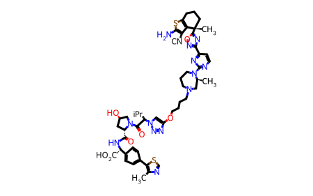 Cc1ncsc1-c1ccc([C@@H](NC(=O)[C@@H]2C[C@@H](O)CN2C(=O)C(C(C)C)n2cc(OCCCCN3CCCN(c4nccc(-c5noc([C@@]6(C)CCCc7sc(N)c(C#N)c76)n5)n4)[C@@H](C)C3)nn2)C(=O)O)cc1